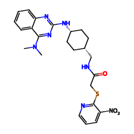 CN(C)c1nc(N[C@H]2CC[C@@H](CNC(=O)CSc3ncccc3[N+](=O)[O-])CC2)nc2ccccc12